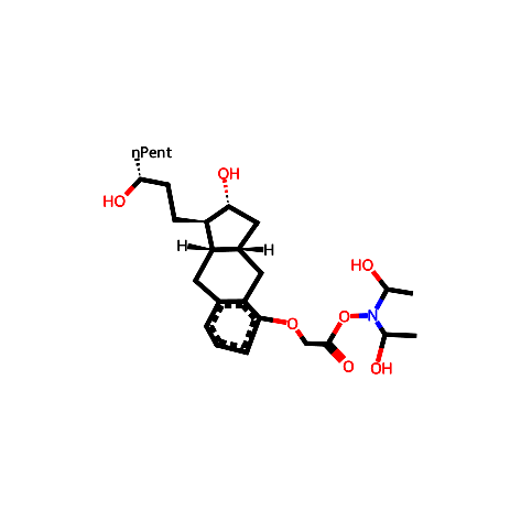 CCCCC[C@@H](O)CC[C@@H]1[C@H]2Cc3cccc(OCC(=O)ON(C(C)O)C(C)O)c3C[C@H]2C[C@H]1O